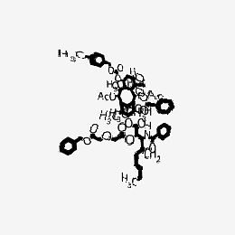 C=C(/C=C\C=C/C)[C@H](NC(=O)c1ccccc1)[C@@H](OC(=O)COCC(=O)OCc1ccccc1)C(=O)O[C@H]1C[C@@]2(O)[C@@H](OC(=O)c3ccccc3)[C@@H]3[C@]4(OC(C)=O)CO[C@@H]4C[C@H](OC(=O)OCc4ccc(C)cc4)[C@@]3(C)C(=O)[C@H](OC(C)=O)C(=C1C)C2(C)C